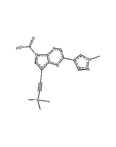 Cn1cc(-c2cnc3c(n2)c(C#C[Si](C)(C)C)cn3C(=O)O)cn1